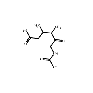 CC(C)C(=O)NCC(=O)C(C)C(C)CC(=O)S